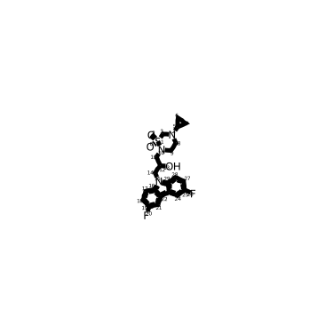 O=S1(=O)CN(C2CC2)CCN1CC(O)Cn1c2ccc(F)cc2c2cc(F)ccc21